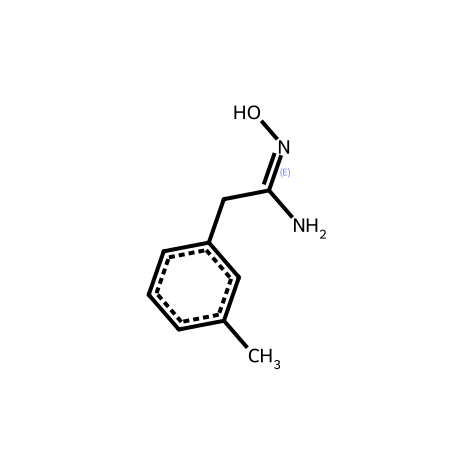 Cc1cccc(C/C(N)=N\O)c1